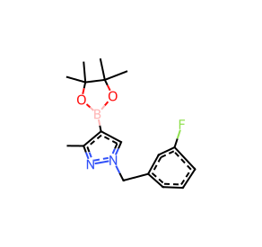 Cc1nn(Cc2cccc(F)c2)cc1B1OC(C)(C)C(C)(C)O1